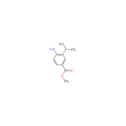 COC(=O)c1ccc(N)c(C(C)C)c1